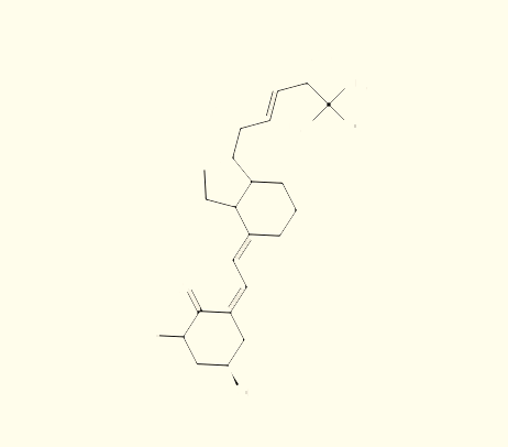 C=C1/C(=C\C=C2/CCC[C@@]3(C)C2CC[C@@H]3[C@H](C)/C=C/[C@H](C)C(C)(C)O)C[C@@H](O)CC1O